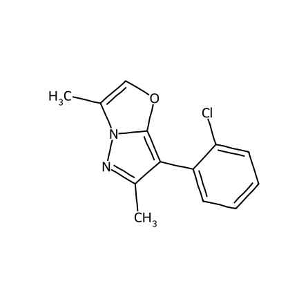 Cc1nn2c(C)coc2c1-c1ccccc1Cl